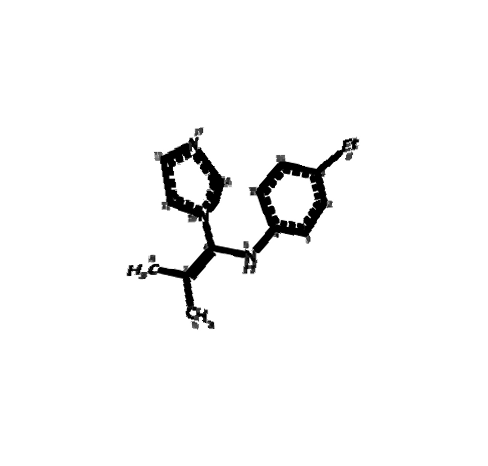 CCc1ccc(NC(=C(C)C)n2ccnc2)cc1